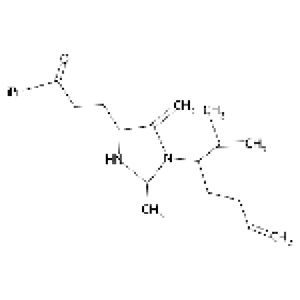 C=CCCC(C(=C)C)N1C(=C)C(CCC(=O)C(C)C)NC1C